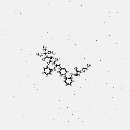 CC(C)(N)C(=O)N[C@@H]1Sc2ccccc2CN(Cc2ccc(-c3ccccc3CNC(=O)NCCO)cc2)C1=O